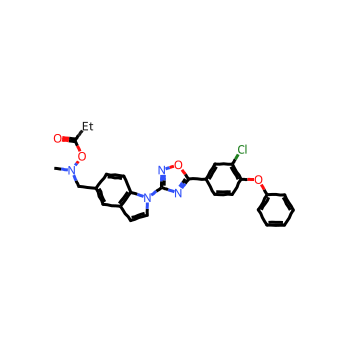 CCC(=O)ON(C)Cc1ccc2c(ccn2-c2noc(-c3ccc(Oc4ccccc4)c(Cl)c3)n2)c1